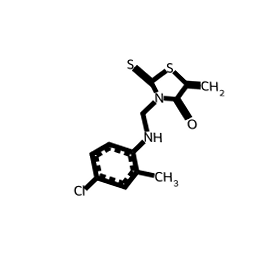 C=C1SC(=S)N(CNc2ccc(Cl)cc2C)C1=O